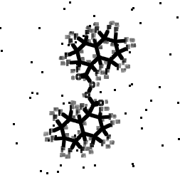 O=C(OOC(=O)C1(F)C(F)(F)C(F)(F)C(F)(F)C2(F)C(F)(F)C(F)(F)C(F)(F)C(F)(F)C12F)C1(F)C(F)(F)C(F)(F)C(F)(F)C2(F)C(F)(F)C(F)(F)C(F)(F)C(F)(F)C12F